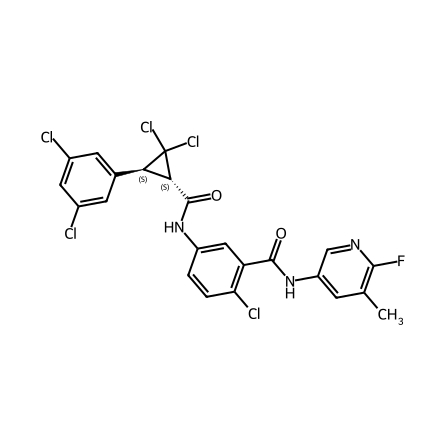 Cc1cc(NC(=O)c2cc(NC(=O)[C@@H]3[C@@H](c4cc(Cl)cc(Cl)c4)C3(Cl)Cl)ccc2Cl)cnc1F